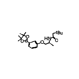 C[C@@H](COc1cccc(B2OC(C)(C)C(C)(C)O2)c1)NC(=O)CC(C)(C)C